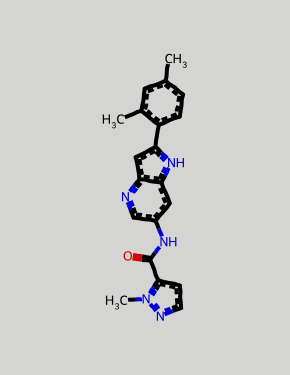 Cc1ccc(-c2cc3ncc(NC(=O)c4ccnn4C)cc3[nH]2)c(C)c1